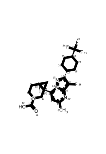 Cc1cc([C@]23C[C@H]2CCN(C(=O)O)C3)n2nc([C@H]3CC[C@H](C(F)(F)F)CC3)c(F)c2n1